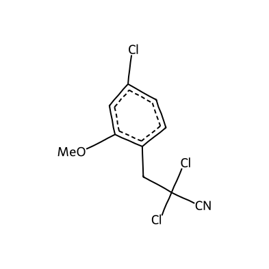 COc1cc(Cl)ccc1CC(Cl)(Cl)C#N